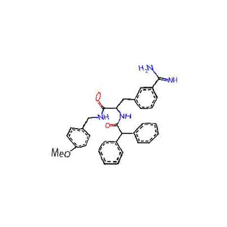 COc1ccc(CNC(=O)C(Cc2cccc(C(=N)N)c2)NC(=O)C(c2ccccc2)c2ccccc2)cc1